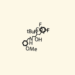 COc1cccc(CNC[C@H](O)[C@H](Cc2cc(F)cc(F)c2)N(C(=O)O)C(C)(C)C)c1